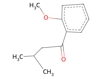 COc1ccccc1C(=O)CC(C)C